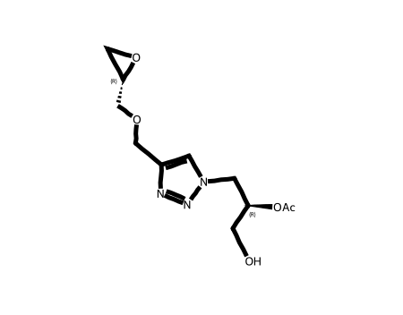 CC(=O)O[C@@H](CO)Cn1cc(COC[C@@H]2CO2)nn1